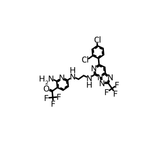 Nc1nc(NCCNc2nc(-c3ccc(Cl)cc3Cl)cc3nc(C(F)(F)F)nn23)ccc1C(=O)C(F)(F)F